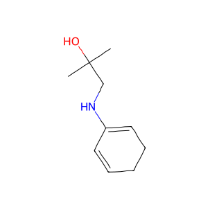 CC(C)(O)CNC1=CCCC=C1